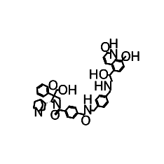 O=C(NCc1ccc(CNC[C@H](O)c2ccc(O)c3[nH]c(=O)ccc23)cc1)c1ccc(C(=O)N2CC(C(=O)O)(c3ccccc3)[C@H]2C2CN3CCC2CC3)cc1